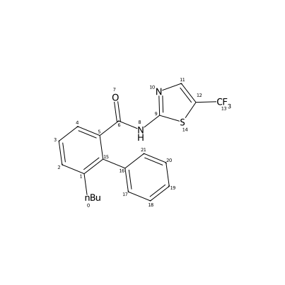 CCCCc1cccc(C(=O)Nc2ncc(C(F)(F)F)s2)c1-c1ccccc1